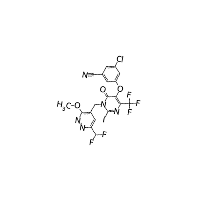 COc1nnc(C(F)F)cc1Cn1c(I)nc(C(F)(F)F)c(Oc2cc(Cl)cc(C#N)c2)c1=O